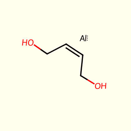 OC/C=C\CO.[Al]